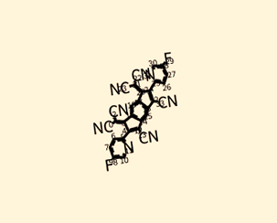 N#CC(C#N)=C1C(c2ccc(F)cn2)=C(C#N)c2cc3c(cc21)C(=C(C#N)C#N)C(c1ccc(F)cn1)=C3C#N